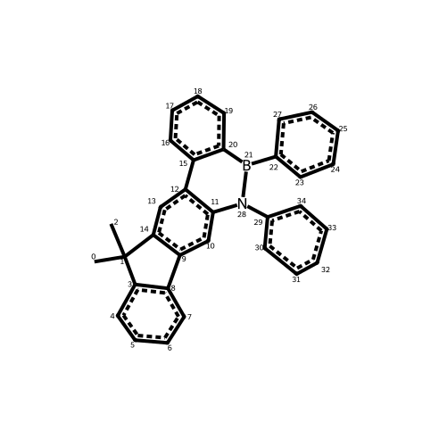 CC1(C)c2ccccc2-c2cc3c(cc21)-c1ccccc1B(c1ccccc1)N3c1ccccc1